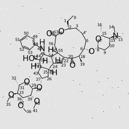 CC[C@H]1CCC[C@H](O[C@H]2CC[C@H](N(C)C)[C@@H](C)O2)[C@@H](C)C(=O)C2=C[C@H]3[C@@H]4C[C@H](O[C@@H]5O[C@@H](C)[C@H](OC)[C@@H](OC)[C@H]5OC)C[C@H]4[C@@H](O)[C@H](Nc4ccccc4)[C@H]3[C@@H]2CC(=O)O1